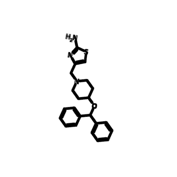 Nc1nc(CN2CCC(OC(c3ccccc3)c3ccccc3)CC2)cs1